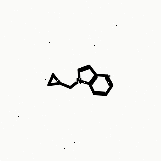 [c]1cccc2c1ccn2CC1CC1